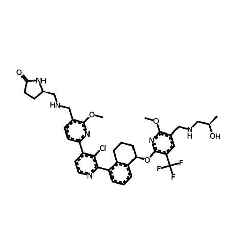 COc1nc(-c2ccnc(-c3cccc4c3CCC[C@H]4Oc3nc(OC)c(CNC[C@@H](C)O)cc3C(F)(F)F)c2Cl)ccc1CNC[C@H]1CCC(=O)N1